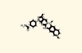 COc1cc2c(cc1Nc1ncc3c(C)nn([C@H]4CC[C@@H](C(N)=O)CC4)c3n1)CN(C)CC2